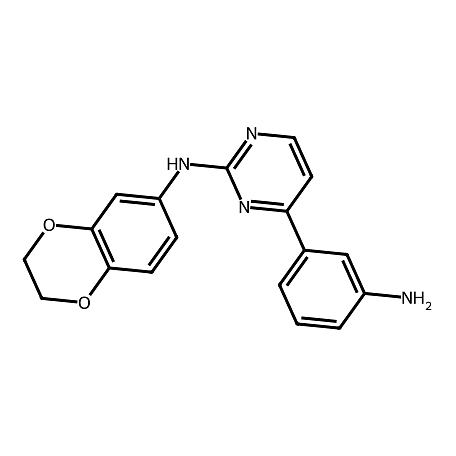 Nc1cccc(-c2ccnc(Nc3ccc4c(c3)OCCO4)n2)c1